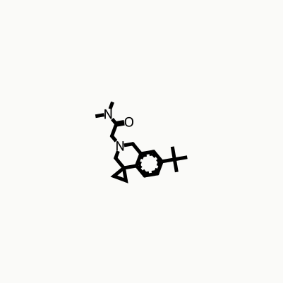 CN(C)C(=O)CN1Cc2cc(C(C)(C)C)ccc2C2(CC2)C1